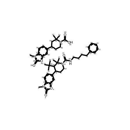 Cn1c(=O)oc2cc(C3CCN(C(=O)NCCCCc4ccccc4)C(C)(C)C3C(C)(C)C)ccc21.Cn1c(=O)oc2cc(C3CCN(C(=O)O)C(C)(C)C3)ccc21